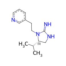 CC(C)[C@H]1CNC(=N)N1CCc1cccnc1